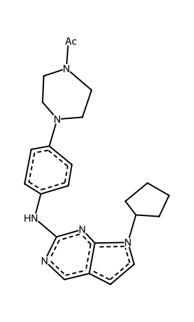 CC(=O)N1CCN(c2ccc(Nc3ncc4ccn(C5CCCC5)c4n3)cc2)CC1